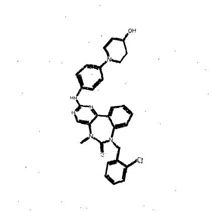 CN1C(=O)N(Cc2ccccc2Cl)c2ccccc2-c2nc(Nc3ccc(N4CCC(O)CC4)cc3)ncc21